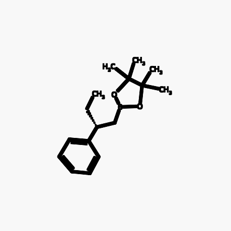 CC[C@H](CB1OC(C)(C)C(C)(C)O1)c1ccccc1